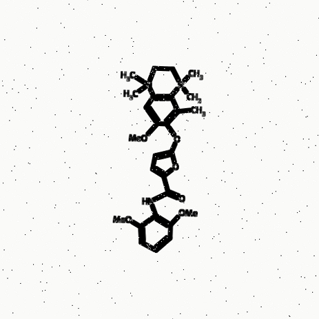 COc1cccc(OC)c1NC(=O)c1ccc(Oc2c(OC)cc3c(c2C)[Si](C)(C)CC[Si]3(C)C)o1